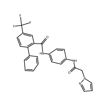 O=C(Cn1cccn1)Nc1ccc(NC(=O)c2cc(C(F)(F)F)ccc2-c2ccccc2)cc1